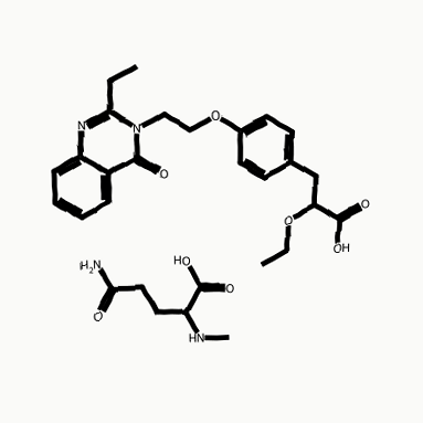 CCOC(Cc1ccc(OCCn2c(CC)nc3ccccc3c2=O)cc1)C(=O)O.CNC(CCC(N)=O)C(=O)O